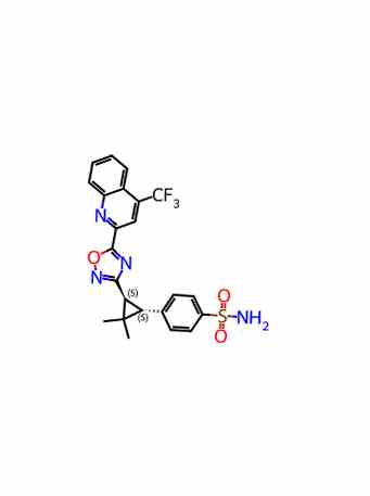 CC1(C)[C@@H](c2ccc(S(N)(=O)=O)cc2)[C@@H]1c1noc(-c2cc(C(F)(F)F)c3ccccc3n2)n1